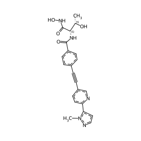 C[C@H](O)[C@H](NC(=O)c1ccc(C#Cc2ccc(-c3ccnn3C)nc2)cc1)C(=O)NO